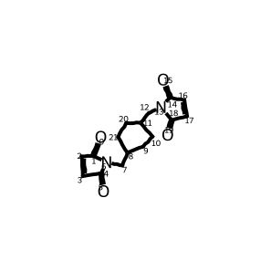 O=C1C=CC(=O)N1CC1CCC(CN2C(=O)C=CC2=O)CC1